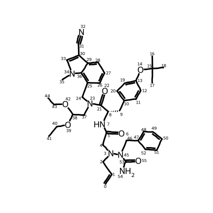 C=CCN(CC(=O)N[C@@H](Cc1ccc(OC(C)(C)C)cc1)C(=O)N(Cc1cccc2c(C#N)cn(C)c12)CC(OCC)OCC)N(Cc1ccccc1)C(N)=O